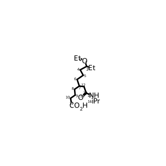 CCOC(CC)CCCC(CCCC(=O)O)CC(=O)NC(C)C